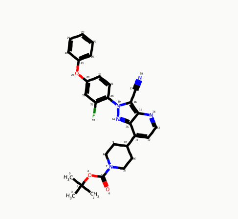 CC(C)(C)OC(=O)N1CCC(c2ccnc3c(C#N)n(-c4ccc(Oc5ccccc5)cc4F)nc23)CC1